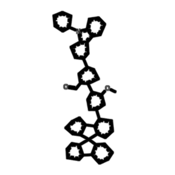 COc1cc(-c2cccc3c2-c2ccccc2C32c3ccccc3-c3ccccc32)ccc1-c1ccc(-c2ccc3c(c2)c2ccccc2n3-c2ccccc2)cc1C=O